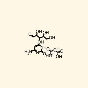 Nc1cc[nH]c(=O)n1.O=CC(O)C(O)C(O)CO.O=[PH](O)O[PH](=O)O